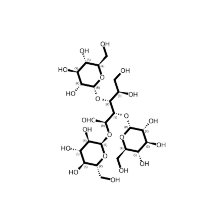 O=C[C@H](O[C@H]1O[C@H](CO)[C@@H](O)[C@H](O)[C@H]1O)[C@@H](O[C@H]1O[C@H](CO)[C@@H](O)[C@H](O)[C@H]1O)[C@H](O[C@H]1O[C@H](CO)[C@@H](O)[C@H](O)[C@H]1O)[C@H](O)CO